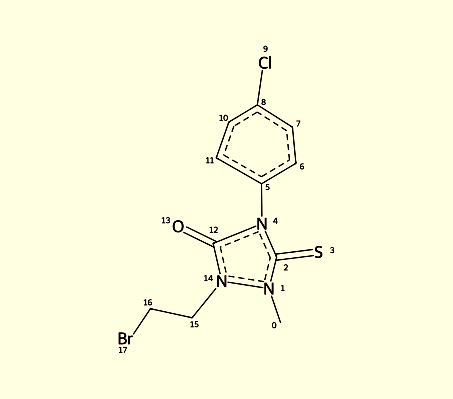 Cn1c(=S)n(-c2ccc(Cl)cc2)c(=O)n1CCBr